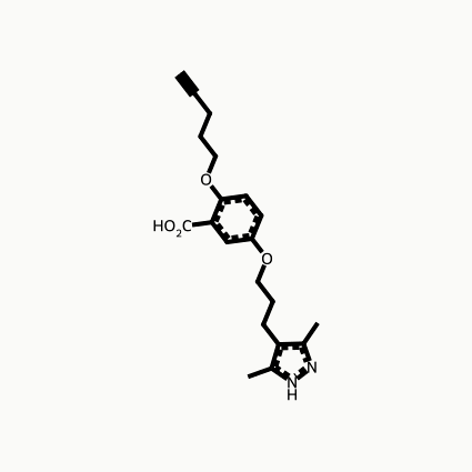 C#CCCCOc1ccc(OCCCc2c(C)n[nH]c2C)cc1C(=O)O